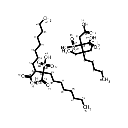 CCCCCC(CC)(CC)C(CC(=O)O)(C(=O)O)S(=O)(=O)O.CCCCCCCCC(C(=O)O)C(CCCCCCCC)(C(=O)O)S(=O)(=O)O